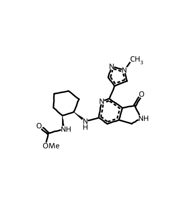 COC(=O)N[C@H]1CCCC[C@H]1Nc1cc2c(c(-c3cnn(C)c3)n1)C(=O)NC2